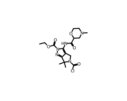 CCOC(=O)n1nc2c(c1NC(=O)C1CN(C)CCO1)CN(C(=O)Cl)C2(C)C